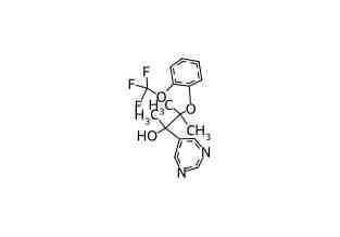 CC(C)(Oc1ccccc1OC(F)(F)F)C(C)(O)c1cncnc1